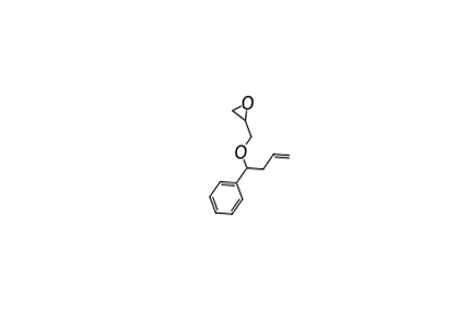 C=CCC(OCC1CO1)c1ccccc1